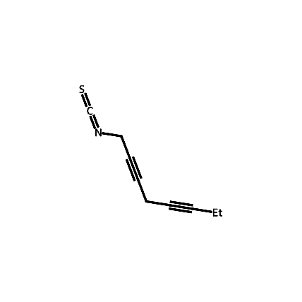 CCC#CCC#CCN=C=S